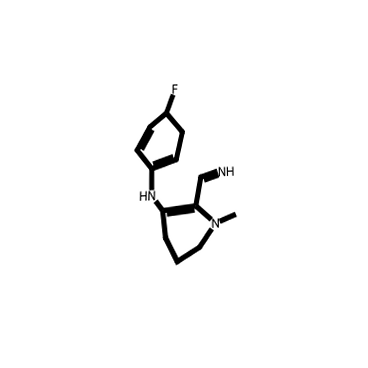 CN1CCCC(NC2=CCC(F)C=C2)=C1C=N